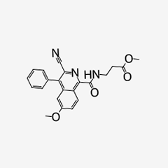 COC(=O)CCNC(=O)c1nc(C#N)c(-c2ccccc2)c2cc(OC)ccc12